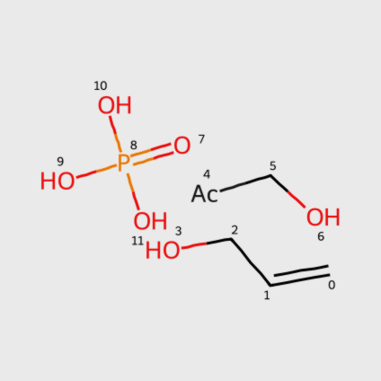 C=CCO.CC(=O)CO.O=P(O)(O)O